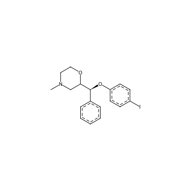 CN1CCOC([C@@H](Oc2ccc(I)cc2)c2ccccc2)C1